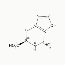 Cl.O=C(O)[C@H]1Cc2ccoc2CN1